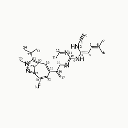 C#CN/C(=C\C=C(C)C)NC(/N=C\C)=N/CC(=C)C1=CC2=C(C(C)C)N(C)N=C(C2)C(F)=C1